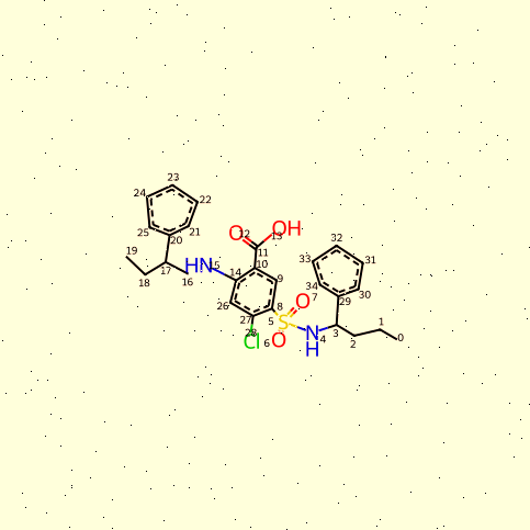 CCCC(NS(=O)(=O)c1cc(C(=O)O)c(NCC(CC)c2ccccc2)cc1Cl)c1ccccc1